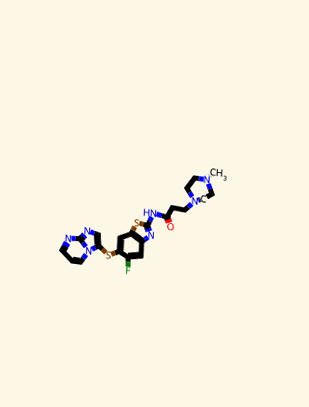 CN1CCN(CCC(=O)Nc2nc3cc(F)c(Sc4cnc5ncccn45)cc3s2)CC1